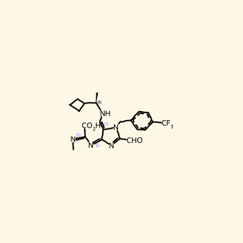 C\N=C(/N=C1/N=C(C=O)N(Cc2ccc(C(F)(F)F)cc2)/C1=C\N[C@H](C)C1CCC1)C(=O)O